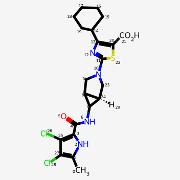 Cc1[nH]c(C(=O)NC2C3CN(c4nc(C5CCCCC5)c(C(=O)O)s4)C[C@H]32)c(Cl)c1Cl